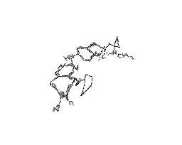 CN(C)C1(CN2Cc3ccc(Nc4ncc5cc(C#N)c(=O)n(C6CCCC6)c5n4)cc3C2)CC1